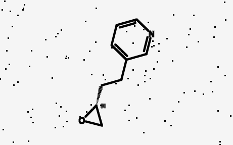 c1cncc(CC[C@@H]2CO2)c1